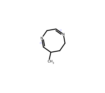 CC1/C=N\C/C=N\CC1